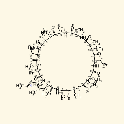 C/C=C/C[C@@H](C)[C@@H](O)[C@H]1C(=O)N[C@@H](CC)C(=O)N(C)CC(=O)N(C)[C@@H](C)C(=O)N[C@@H](CC(C)C)C(=O)N(C)[C@@H](C)C(=O)N[C@@H](C)C(=O)N[C@H](C)C(=O)N(C)[C@@H](CC(C)C)C(=O)N(C)[C@H](CC(C)C)C(=O)N(C)[C@@H](C(C)C)C(=O)N1C